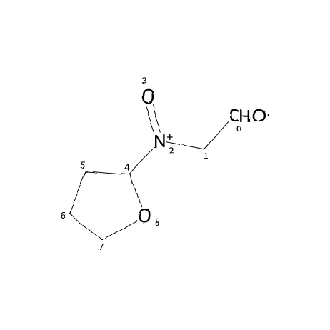 O=[C]C[N+](=O)C1CCCO1